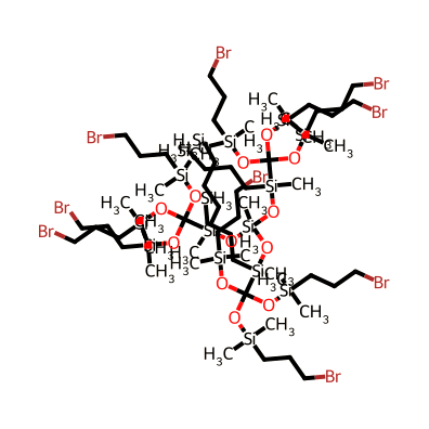 C[Si](C)(CCCBr)OC(O[Si](C)(C)CCCBr)(O[Si](C)(C)CCCBr)[Si](C)(CCC[SiH3])O[Si](C)(O[Si](C)(CCC[SiH3])C(O[Si](C)(C)CCCBr)(O[Si](C)(C)CCCBr)O[Si](C)(C)CCCBr)O[Si](C)(CCC[SiH3])C(O[Si](C)(C)CCCBr)(O[Si](C)(C)CCCBr)O[Si](C)(C)CCCBr